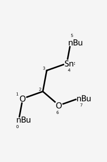 CCCCOC([CH2][Sn][CH2]CCC)OCCCC